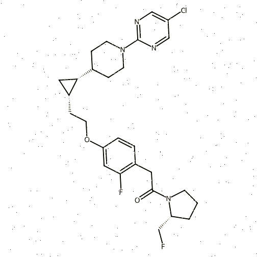 O=C(Cc1ccc(OCC[C@@H]2C[C@@H]2C2CCN(c3ncc(Cl)cn3)CC2)cc1F)N1CCC[C@@H]1CF